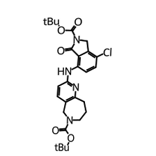 CC(C)(C)OC(=O)N1CCCc2nc(Nc3ccc(Cl)c4c3C(=O)N(C(=O)OC(C)(C)C)C4)ccc2C1